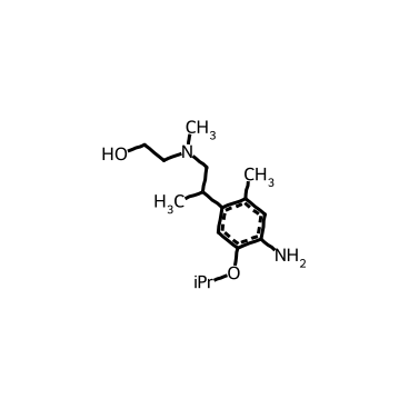 Cc1cc(N)c(OC(C)C)cc1C(C)CN(C)CCO